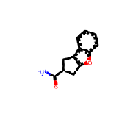 NC(=O)C1Cc2oc3ccccc3c2C1